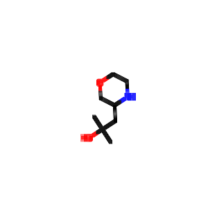 CC(C)(O)CC1COCCN1